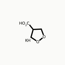 O=C(O)C1COOC1.[KH]